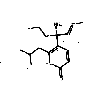 C/C=C/[C@](N)(CCC)c1ccc(=O)[nH]c1CC(C)C